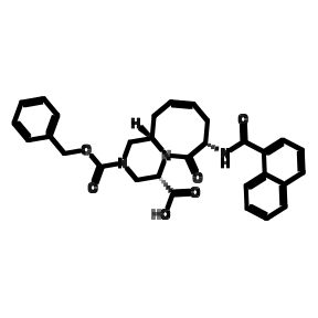 O=C(N[C@H]1C/C=C\C[C@H]2CN(C(=O)OCc3ccccc3)C[C@@H](C(=O)O)N2C1=O)c1cccc2ccccc12